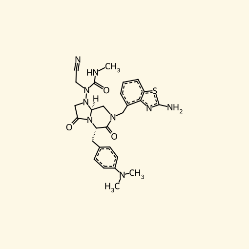 CNC(=O)N(CC#N)N1CC(=O)N2[C@@H](Cc3ccc(N(C)C)cc3)C(=O)N(Cc3cccc4sc(N)nc34)C[C@@H]21